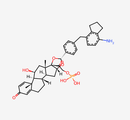 C[C@]12C=CC(=O)C=C1CC[C@@H]1[C@@H]2[C@@H](O)C[C@@]2(C)[C@H]1C[C@H]1O[C@@H](c3ccc(Cc4ccc(N)c5c4CCC5)cc3)O[C@]12C(=O)COP(=O)(O)O